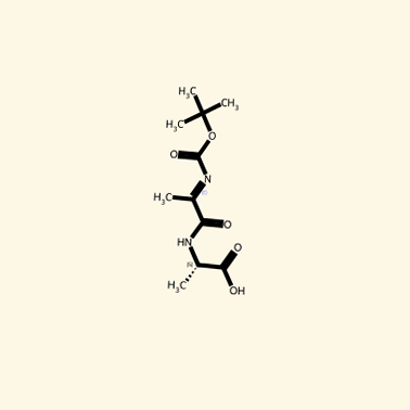 C/C(=N\C(=O)OC(C)(C)C)C(=O)N[C@@H](C)C(=O)O